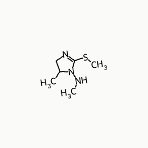 CNN1C(SC)=NCC1C